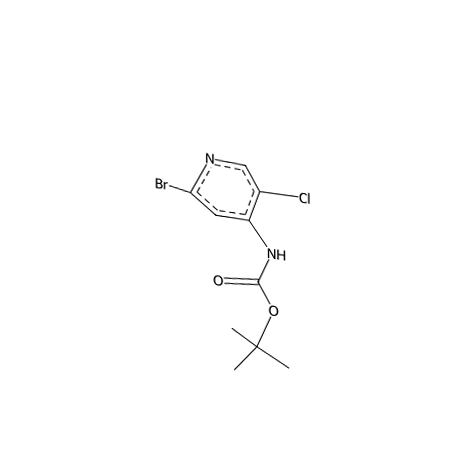 CC(C)(C)OC(=O)Nc1cc(Br)ncc1Cl